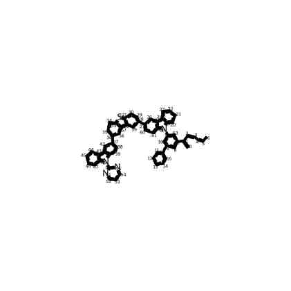 C=C(/C=C\C=C/C)c1cc(-c2ccccc2)cc(-n2c3ccccc3c3cc(-c4ccc5sc6ccc(-c7ccc8c(c7)c7ccccc7n8-c7ncccn7)cc6c5c4)ccc32)c1